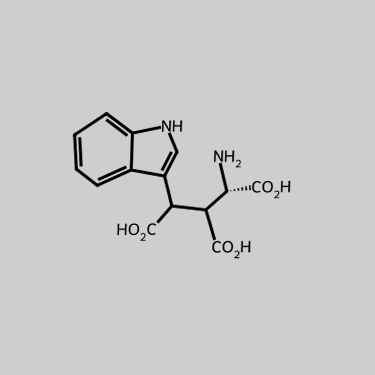 N[C@H](C(=O)O)C(C(=O)O)C(C(=O)O)c1c[nH]c2ccccc12